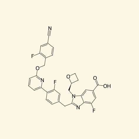 N#Cc1ccc(COc2cccc(-c3ccc(Cc4nc5c(F)cc(C(=O)O)cc5n4C[C@@H]4CCO4)cc3F)n2)c(F)c1